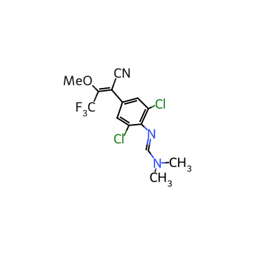 COC(=C(C#N)c1cc(Cl)c(N=CN(C)C)c(Cl)c1)C(F)(F)F